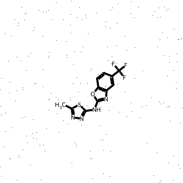 Cc1nnc(Nc2nc3cc(C(F)(F)F)ccc3o2)s1